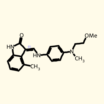 COCCN(C)c1ccc(N/C=C2/C(=O)Nc3cccc(C)c32)cc1